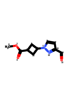 COC(=O)C1CC(n2ccc(C=O)n2)C1